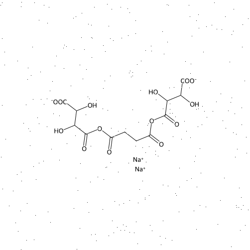 O=C(CCC(=O)OC(=O)C(O)C(O)C(=O)[O-])OC(=O)C(O)C(O)C(=O)[O-].[Na+].[Na+]